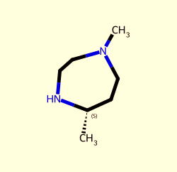 C[C@H]1CCN(C)CCN1